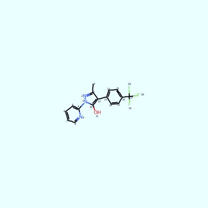 Cc1nn(-c2ccccn2)c(O)c1-c1ccc(C(F)(F)F)cc1